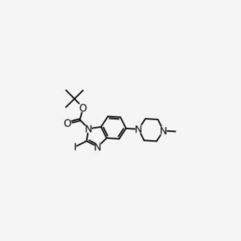 CN1CCN(c2ccc3c(c2)nc(I)n3C(=O)OC(C)(C)C)CC1